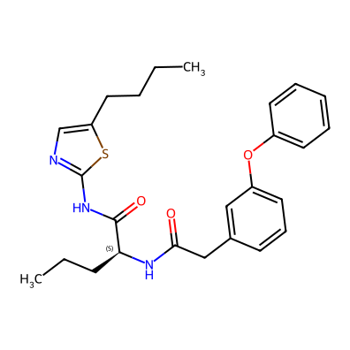 CCCCc1cnc(NC(=O)[C@H](CCC)NC(=O)Cc2cccc(Oc3ccccc3)c2)s1